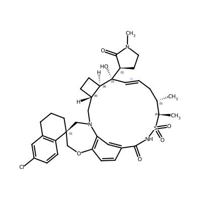 C[C@@H]1[C@@H](C)C/C=C/[C@](O)([C@@H]2CCN(C)C2=O)[C@@H]2CC[C@H]2CN2C[C@@]3(CCCc4cc(Cl)ccc43)COc3ccc(cc32)C(=O)NS1(=O)=O